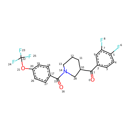 O=C(c1ccc(F)c(F)c1)C1CCCN(C(=O)c2ccc(OC(F)(F)F)cc2)C1